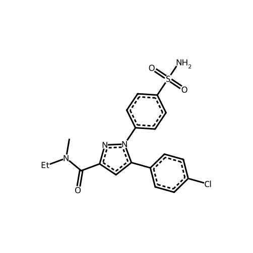 CCN(C)C(=O)c1cc(-c2ccc(Cl)cc2)n(-c2ccc(S(N)(=O)=O)cc2)n1